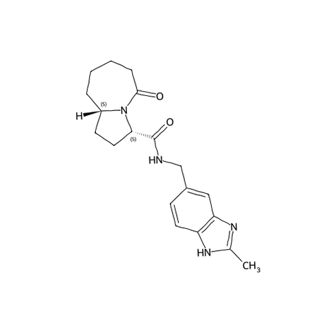 Cc1nc2cc(CNC(=O)[C@@H]3CC[C@@H]4CCCCC(=O)N43)ccc2[nH]1